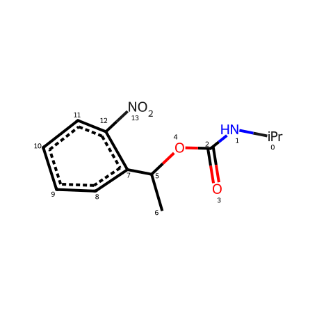 CC(C)NC(=O)OC(C)c1ccccc1[N+](=O)[O-]